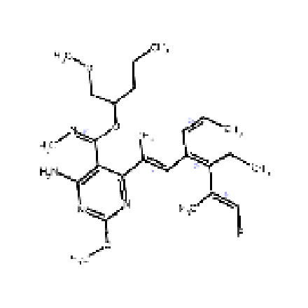 C\C=C/C(/C=C(\P)c1nc(OC)nc(N)c1/C(=N\C)OC(CCC)COC)=C(CC)/C(C)=C/F